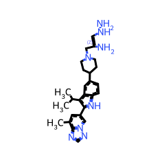 Cc1cc(-c2[nH]c3ccc(C4CCN(C/C(N)=C/NN)CC4)cc3c2C(C)C)cn2ncnc12